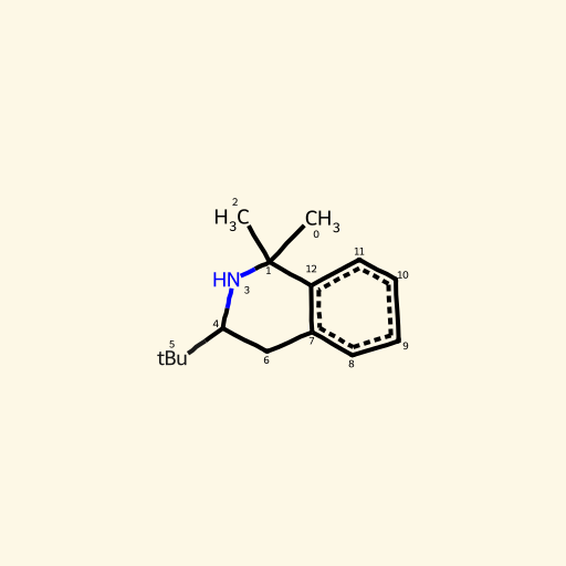 CC1(C)NC(C(C)(C)C)Cc2ccccc21